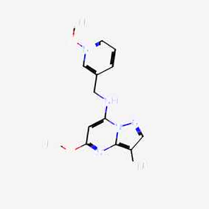 COc1cc(NCc2ccc[n+](OC)c2)n2ncc(C)c2n1